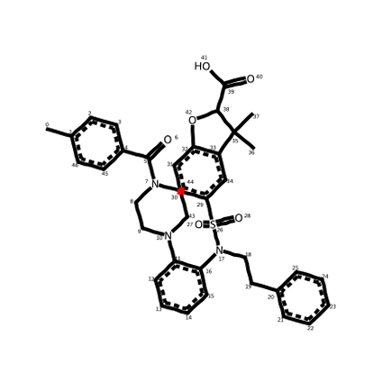 Cc1ccc(C(=O)N2CCN(c3ccccc3N(CCc3ccccc3)S(=O)(=O)c3ccc4c(c3)C(C)(C)C(C(=O)O)O4)CC2)cc1